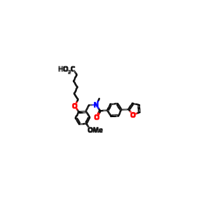 COc1ccc(OCCCCCC(=O)O)c(CN(C)C(=O)c2ccc(-c3ccco3)cc2)c1